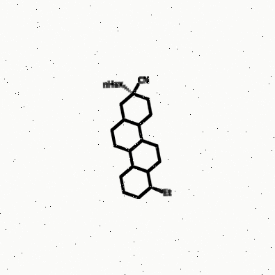 CCCCCC[C@]1(C#N)CCC2C(CCC3C2CCC2C3CCC[C@@H]2CC)C1